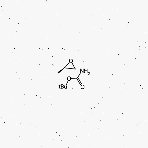 CC(C)(C)OC(N)=O.C[C@@H]1CO1